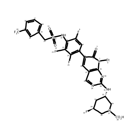 CCn1c(=O)c(-c2cc(F)c(NS(=O)(=O)Cc3cccc(C(F)(F)F)c3)c(F)c2F)cc2cnc(N[C@H]3C[C@H](F)CN(C(=O)O)C3)nc21